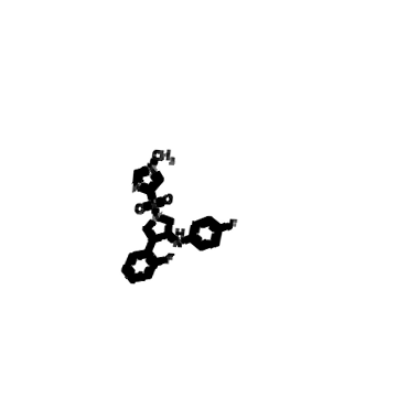 Cn1cnc(S(=O)(=O)N2CC(Nc3ccc(F)cc3)C(c3ccccc3F)C2)c1